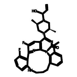 C=CC(O)N1C[C@H](C)N(c2nc(=O)n3c4nc(c(F)cc24)-c2c(F)cccc2NCCCc2cccc(C(C)C)c2-3)C[C@H]1C